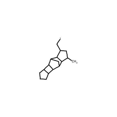 CC1CC(CI)C2C3CC(C12)C1C2CCCC2C31